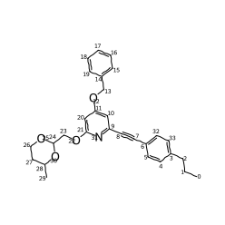 CCCc1ccc(C#Cc2cc(OCc3ccccc3)cc(OCC3OCCC(C)O3)n2)cc1